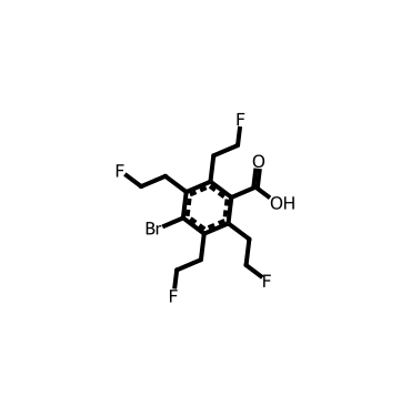 O=C(O)c1c(CCF)c(CCF)c(Br)c(CCF)c1CCF